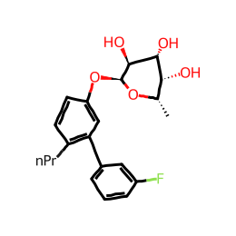 CCCc1ccc(O[C@@H]2O[C@@H](C)[C@@H](O)[C@@H](O)[C@@H]2O)cc1-c1cccc(F)c1